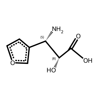 N[C@@H](c1ccoc1)[C@@H](O)C(=O)O